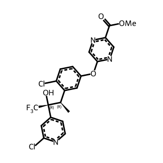 COC(=O)c1cnc(Oc2ccc(Cl)c([C@@H](C)[C@@](O)(c3ccnc(Cl)c3)C(F)(F)F)c2)cn1